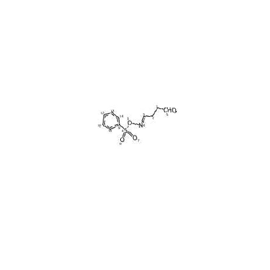 O=CCCC=NOS(=O)(=O)c1ccccc1